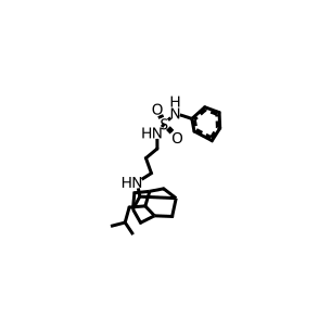 CC(C)CC1C2CC3CC1CC(C2)C3NCCCNS(=O)(=O)Nc1ccccc1